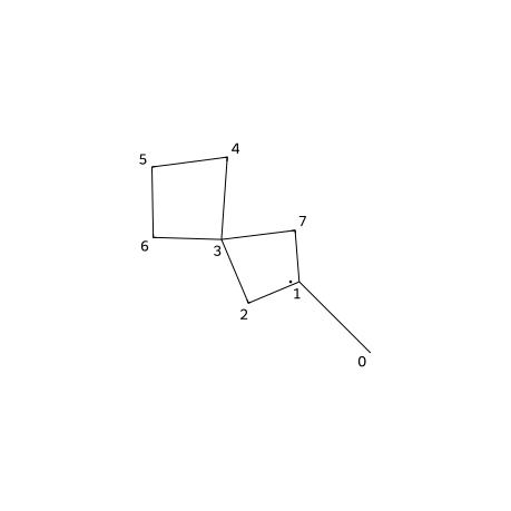 C[C]1CC2(CCC2)C1